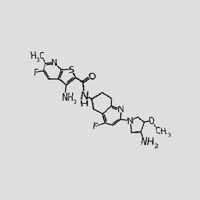 COC1CN(c2cc(F)c3c(n2)CCC(NC(=O)c2sc4nc(C)c(F)cc4c2N)C3)CC1N